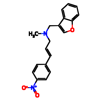 CN(C/C=C/c1ccc([N+](=O)[O-])cc1)Cc1coc2ccccc12